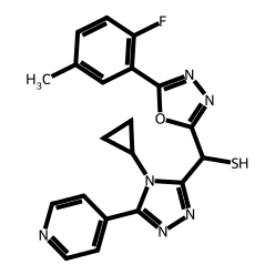 Cc1ccc(F)c(-c2nnc(C(S)c3nnc(-c4ccncc4)n3C3CC3)o2)c1